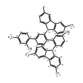 Cc1ccc2c(c1)c1cc(C(F)(F)F)ccc1n2-c1cc(-c2ccc(C(F)(F)F)cc2C#N)ccc1-c1cc(C#N)ccc1-n1c2ccc(C(F)(F)F)cc2c2cc(C(F)(F)F)ccc21